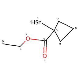 CCOC(=O)[C]1([SnH])CCC1